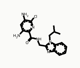 CC(C)Cn1c(CNC(=O)c2nc(Cl)c(N)cc2N)nc2ccccc21